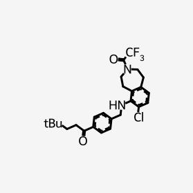 CC(C)(C)CCC(=O)c1ccc(CNc2c(Cl)ccc3c2CCN(C(=O)C(F)(F)F)CC3)cc1